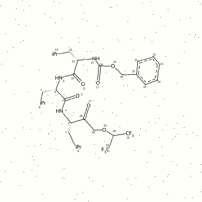 CC(C)C[C@H](NC(=O)[C@H](CC(C)C)NC(=O)[C@H](CC(C)C)NC(=O)OCc1ccccc1)C(=O)COC(C(F)(F)F)C(F)(F)F